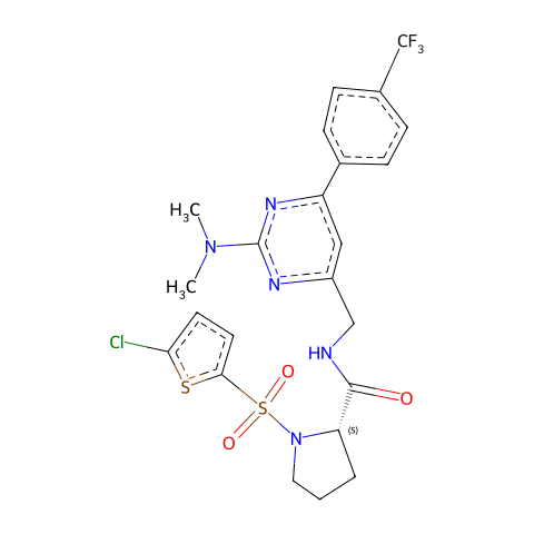 CN(C)c1nc(CNC(=O)[C@@H]2CCCN2S(=O)(=O)c2ccc(Cl)s2)cc(-c2ccc(C(F)(F)F)cc2)n1